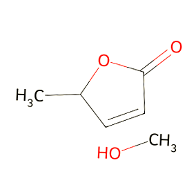 CC1C=CC(=O)O1.CO